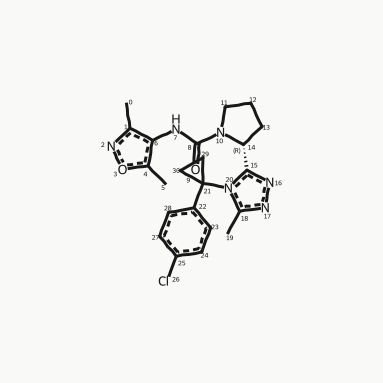 Cc1noc(C)c1NC(=O)N1CCC[C@@H]1c1nnc(C)n1C1(c2ccc(Cl)cc2)CC1